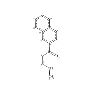 CN/C=C\C(=O)c1ccc2ccccc2c1